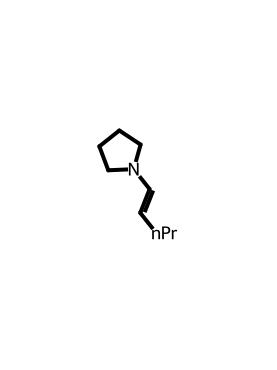 [CH2]CC/C=C/N1CCCC1